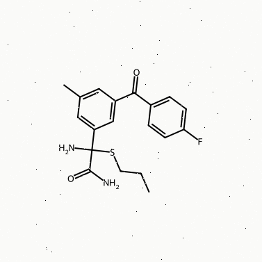 CCCSC(N)(C(N)=O)c1cc(C)cc(C(=O)c2ccc(F)cc2)c1